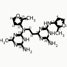 Cc1occc1NC1=NC(CCN(C2=NC(C)N=C(N)N2)c2ccoc2C)N=C(N)N1